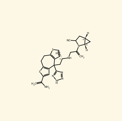 C=C(N)c1cc2c(s1)CCc1sccc1C2(C[C@H](C)NCC(=C)N1C(C#N)C[C@@H]2C[C@@H]21)c1nn[nH]n1